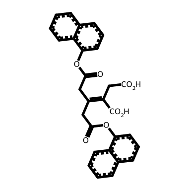 O=C(O)CC(C(=O)O)=C(CC(=O)Oc1cccc2ccccc12)CC(=O)Oc1cccc2ccccc12